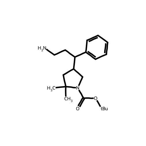 CC(C)(C)OC(=O)N1CC(C(CCN)c2ccccc2)CC1(C)C